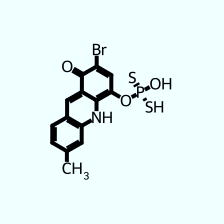 Cc1ccc2cc3c(=O)c(Br)cc(OP(O)(=S)S)c-3[nH]c2c1